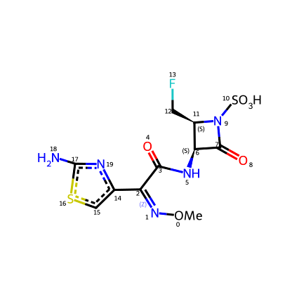 CO/N=C(\C(=O)N[C@@H]1C(=O)N(S(=O)(=O)O)[C@@H]1CF)c1csc(N)n1